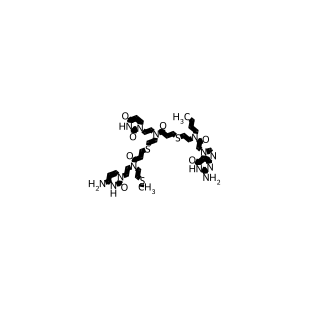 CCCCN(CCSCCC(=O)N(CCSCCC(=O)N(CCSC)CCN1C=CC(N)NC1=O)CCn1ccc(=O)[nH]c1=O)C(=O)Cn1cnc2nc(N)[nH]c(=O)c21